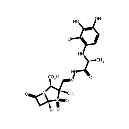 C[C@H](Nc1ccc(O)c(O)c1Cl)C(=O)N/N=C/[C@@]1(C)[C@H](C(=O)O)N2C(=O)C[C@H]2S1(=O)=O